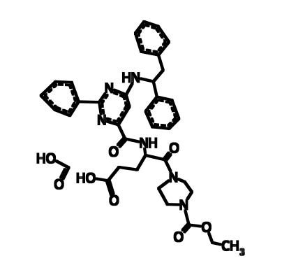 CCOC(=O)N1CCN(C(=O)C(CCC(=O)O)NC(=O)c2cc(NC(Cc3ccccc3)c3ccccc3)nc(-c3ccccc3)n2)CC1.O=CO